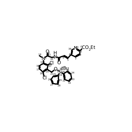 CCOC(=O)c1ccc(C=CC(=O)NCC(=O)N(C)c2ccc(Cl)c(CO[Si](c3ccccc3)(c3ccccc3)C(C)(C)C)c2Cl)cn1